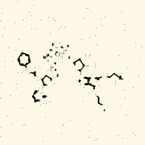 CSCCNc1nc(SCCC(F)(F)F)nc2c1ncn2[C@@H]1O[C@H](COP(=O)(O)OP(=O)(O)OP(=O)(O)OP(=O)(O)OC[C@@H]2C[C@@H](OC(=O)Nc3ccccc3)[C@H](n3ccc(=O)[nH]c3=O)O2)[C@@H](O)[C@H]1O